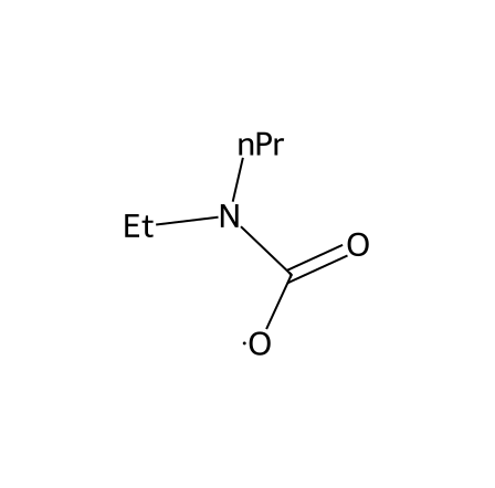 CCCN(CC)C([O])=O